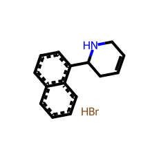 Br.C1=CCC(c2cccc3ccccc23)NC1